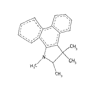 CC1N(C)c2c(c3ccccc3c3ccccc23)C1(C)C